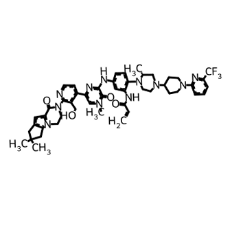 C=CC(=O)Nc1cc(Nc2nc(-c3ccnc(N4CCn5c(cc6c5CC(C)(C)C6)C4=O)c3CO)cn(C)c2=O)ccc1N1CCN(C2CCN(c3cccc(C(F)(F)F)n3)CC2)C[C@@H]1C